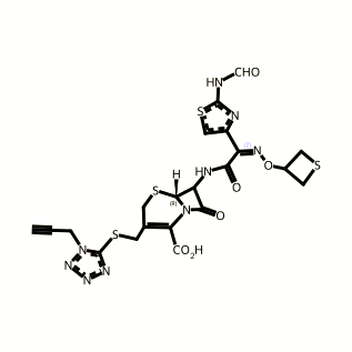 C#CCn1nnnc1SCC1=C(C(=O)O)N2C(=O)C(NC(=O)/C(=N\OC3CSC3)c3csc(NC=O)n3)[C@H]2SC1